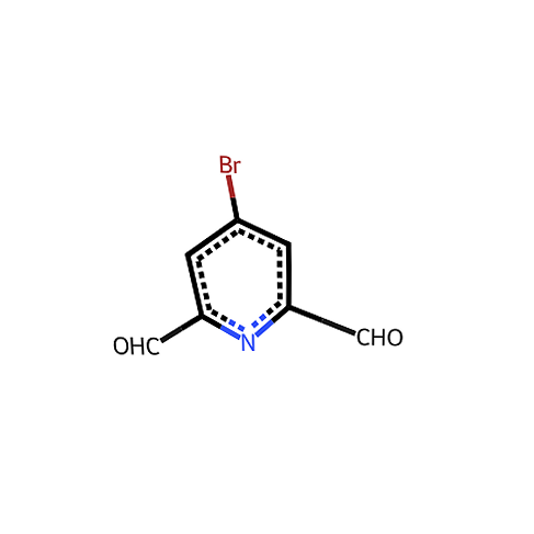 O=Cc1cc(Br)cc(C=O)n1